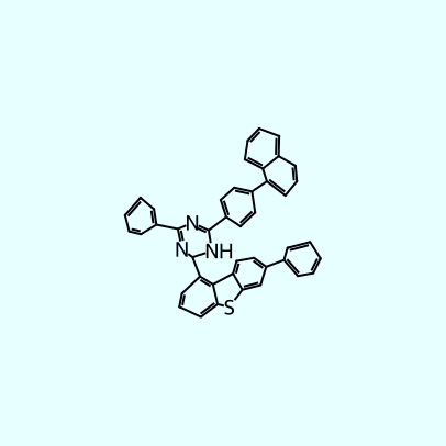 c1ccc(C2=NC(c3cccc4sc5cc(-c6ccccc6)ccc5c34)NC(c3ccc(-c4cccc5ccccc45)cc3)=N2)cc1